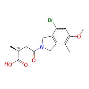 COc1cc(Br)c2c(c1C)CN(C(=O)C[C@H](C)C(=O)O)C2